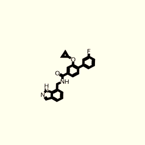 O=C(NCc1cccc2cn[nH]c12)c1ccc(-c2cccc(F)c2)c(OC2CC2)c1